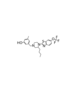 CCCCC1CN(Cc2cc(C)cc(O)c2)CCN1c1nc2ccc(OC(F)(F)F)cc2s1